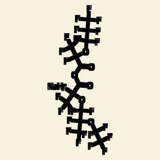 O=C(OC(=O)C(F)(OC(F)(F)C(F)(OC(F)(F)C(F)(F)F)C(F)(F)F)C(F)(F)F)C(F)(OC(F)(F)C(F)(F)C(F)(F)F)C(F)(F)F.[NaH]